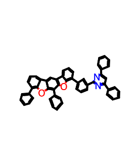 c1ccc(-c2cc(-c3ccccc3)nc(-c3cccc(-c4cccc5c4oc4c(-c6ccccc6)c6oc7c(-c8ccccc8)cccc7c6cc45)c3)n2)cc1